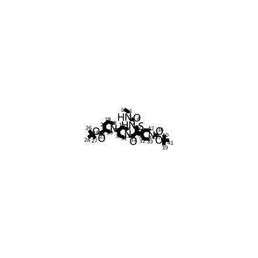 CCNC(=O)Nc1sc2c(c1C(=O)N1CCC(N3CCCC(C(=O)OC(C)(C)C)C3)CC1)CCN(C(=O)OC(C)(C)C)C2